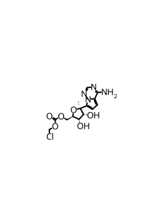 C[C@@]1(c2ccc3c(N)ncnn23)O[C@H](COC(=O)OCCl)[C@@H](O)[C@H]1O